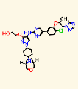 C[C@@H](Cn1cncn1)Oc1cc(-c2cnc(Nc3cn(C4CCC(N5[C@@H]6CC[C@H]5COC6)CC4)nc3OCCO)nc2)ccc1Cl